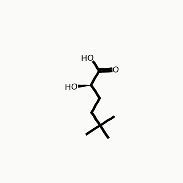 CC(C)(C)CC[C@@H](O)C(=O)O